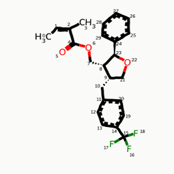 C/C=C(/C)C(=O)OC[C@H]1[C@@H](Cc2ccc(C(F)(F)F)cc2)CO[C@@H]1c1ccccc1